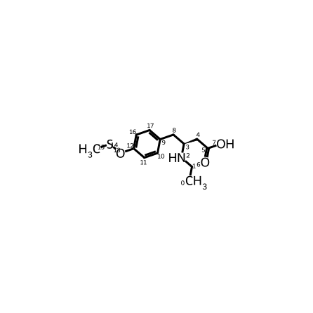 CCN[C@H](CC(=O)O)Cc1ccc(OSC)cc1